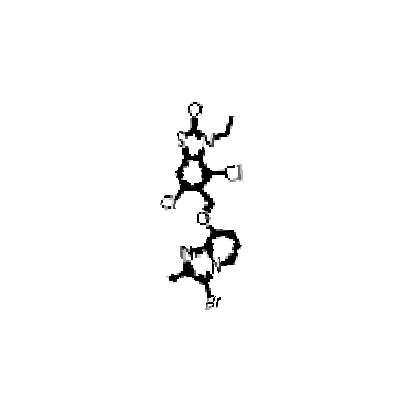 CCn1c(=O)sc2cc(Cl)c(COc3cccn4c(Br)c(C)nc34)c(Cl)c21